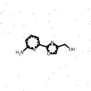 Nc1cccc(-c2nc(CO)co2)n1